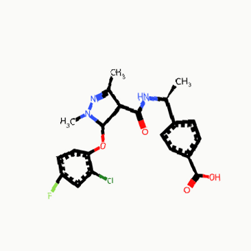 CC1=NN(C)C(Oc2ccc(F)cc2Cl)C1C(=O)N[C@@H](C)c1ccc(C(=O)O)cc1